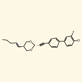 CCC/C=C/[C@H]1CO[C@H](C#Cc2ccc(-c3ccc(Cl)c(F)c3)cc2)OC1